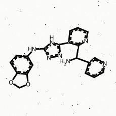 NC(c1cccnc1)c1ncccc1-c1nnc(Nc2ccc3c(c2)OCO3)[nH]1